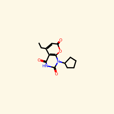 CCc1cc(=O)oc2c1c(=O)[nH]c(=O)n2C1CCCC1